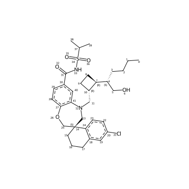 CCCC[C@H](CO)[C@@H]1CC[C@H]1CN1C[C@@]2(CCCc3cc(Cl)ccc32)COc2ccc(C(=O)NS(=O)(=O)C(C)C)cc21